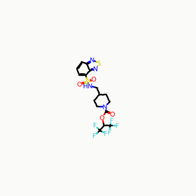 O=C(OC(C(F)(F)F)C(F)(F)F)N1CCC(CNS(=O)(=O)c2cccc3nsnc23)CC1